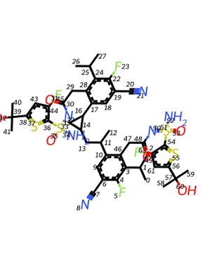 CC(C)c1c(F)c(C#N)cc(C(C)CC2CC2c2cc(C#N)c(F)c(C(C)C)c2CC(=O)N=S(N)(=O)c2sc(C(C)(C)O)cc2F)c1CC(=O)N=S(N)(=O)c1sc(C(C)(C)O)cc1F